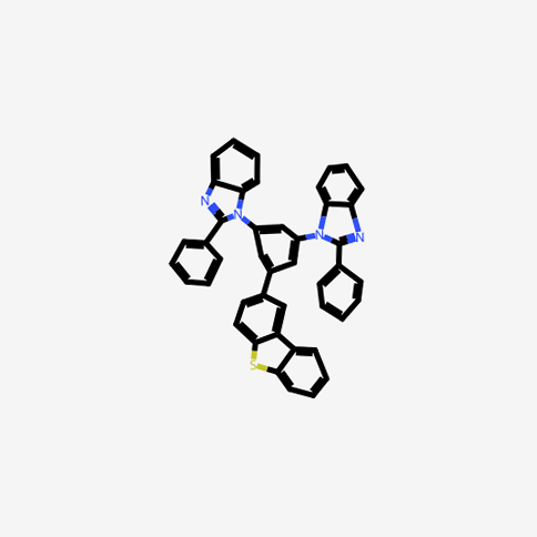 c1ccc(-c2nc3ccccc3n2-c2cc(-c3ccc4sc5ccccc5c4c3)cc(-n3c(-c4ccccc4)nc4ccccc43)c2)cc1